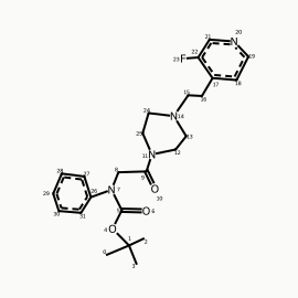 CC(C)(C)OC(=O)N(CC(=O)N1CCN(CCc2ccncc2F)CC1)c1ccccc1